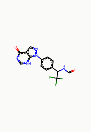 O=CNC(c1ccc(-n2ncc3c(=O)nc[nH]c32)cc1)C(F)(F)F